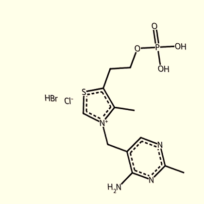 Br.Cc1ncc(C[n+]2csc(CCOP(=O)(O)O)c2C)c(N)n1.[Cl-]